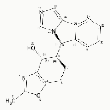 Cc1nc2c(o1)CC[C@H]([C@@H]1c3ccccc3-c3cncn31)[C@H]2O